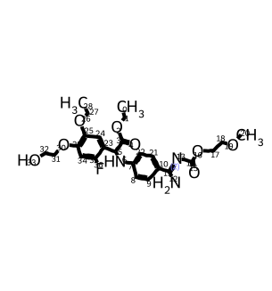 CCOC(=O)C(Nc1ccc(/C(N)=N/C(=O)OCCOC)cc1)c1cc(OCC)c(OCCO)cc1F